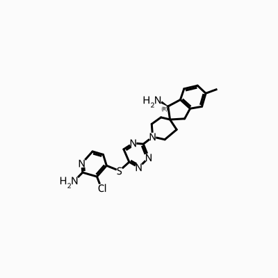 Cc1ccc2c(c1)CC1(CCN(c3ncc(Sc4ccnc(N)c4Cl)nn3)CC1)[C@H]2N